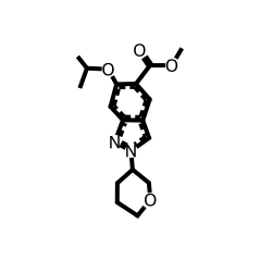 COC(=O)c1cc2cn(C3CCCOC3)nc2cc1OC(C)C